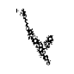 C=CC(=O)OCCCCCCOc1ccc(OC(=O)C2CCC(C(=O)Oc3ccc(OC(=O)C4CCC(C=O)CC4)c(/C=N/N=c4/sc5ccccc5n4C)c3)CC2)cc1